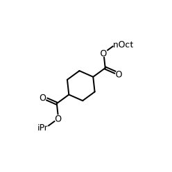 CCCCCCCCOC(=O)C1CCC(C(=O)OC(C)C)CC1